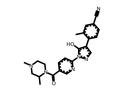 Cc1cc(C#N)ccc1-c1cnn(-c2ccc(C(=O)N3CCN(C)CC3C)cn2)c1O